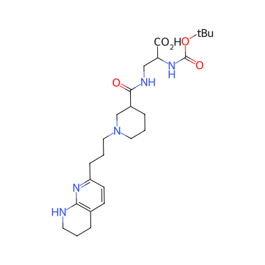 CC(C)(C)OC(=O)NC(CNC(=O)C1CCCN(CCCc2ccc3c(n2)NCCC3)C1)C(=O)O